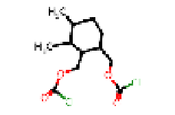 CC1CCC(COC(=O)Cl)C(COC(=O)Cl)C1C